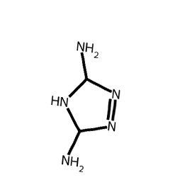 NC1N=NC(N)N1